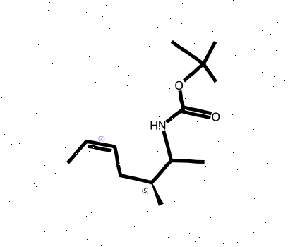 C/C=C\C[C@H](C)C(C)NC(=O)OC(C)(C)C